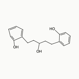 Oc1ccccc1CCC(O)CCc1ccccc1O